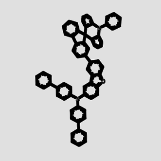 c1ccc(-c2ccc(N(c3ccc(-c4ccccc4)cc3)c3ccc4oc5ccc(-c6ccc7c(c6)C6(c8ccccc8-7)c7ccccc7N(c7ccccc7)c7ccccc76)cc5c4c3)cc2)cc1